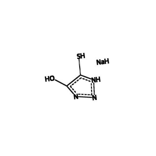 Oc1nn[nH]c1S.[NaH]